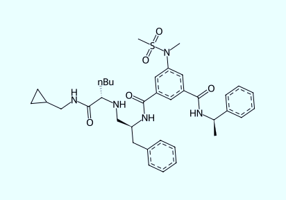 CCCC[C@H](NC[C@H](Cc1ccccc1)NC(=O)c1cc(C(=O)N[C@H](C)c2ccccc2)cc(N(C)S(C)(=O)=O)c1)C(=O)NCC1CC1